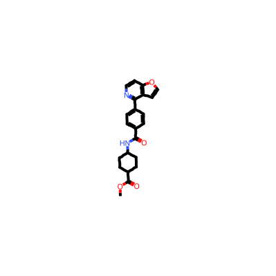 COC(=O)C1CCC(NC(=O)c2ccc(-c3nccc4occc34)cc2)CC1